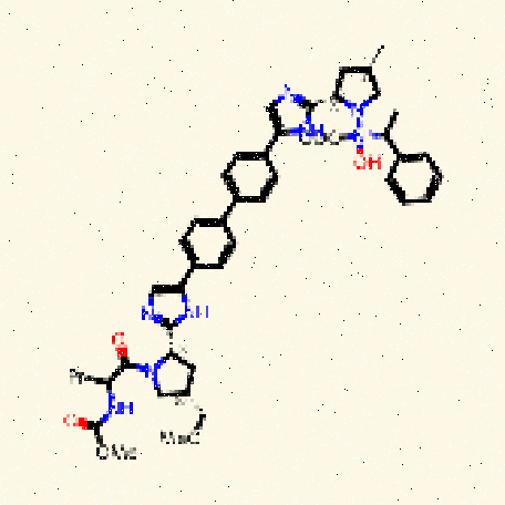 COC[C@H]1C[C@@H](c2ncc(-c3ccc(-c4ccc(-c5cnc([C@@H]6C[C@H](C)CN6[N+](O)(C(=O)[O-])C(C)c6ccccc6)[nH]5)cc4)cc3)[nH]2)N(C(=O)C(NC(=O)OC)C(C)C)C1